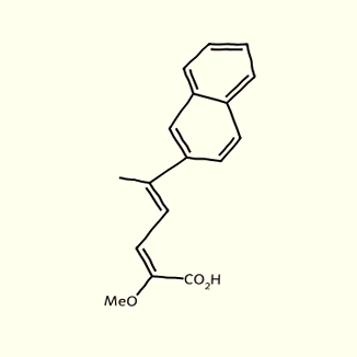 COC(=CC=C(C)c1ccc2ccccc2c1)C(=O)O